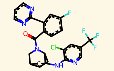 O=C(c1ccc(F)cc1-c1ncccn1)N1CC2CCC1C(Nc1ncc(C(F)(F)F)cc1Cl)C2